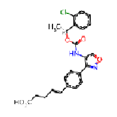 C[C@@H](OC(=O)Nc1conc1-c1ccc(C=CCCC(=O)O)cc1)c1ccccc1Cl